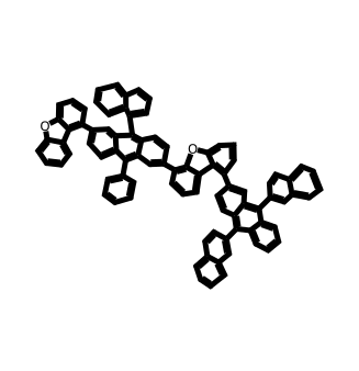 c1ccc(-c2c3cc(-c4cccc5c4oc4cccc(-c6ccc7c(-c8ccc9ccccc9c8)c8ccccc8c(-c8ccc9ccccc9c8)c7c6)c45)ccc3c(-c3cccc4ccccc34)c3cc(-c4cccc5oc6ccccc6c45)ccc23)cc1